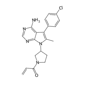 C=CC(=O)N1CCC(n2c(C)c(-c3ccc(Cl)cc3)c3c(N)ncnc32)C1